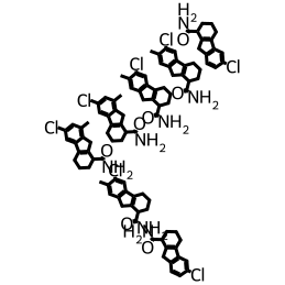 Cc1cc(Cl)cc2c1CC1=C2CCCC1C(N)=O.Cc1cc(Cl)cc2c1CC1=C2CCCC1C(N)=O.Cc1cc2c(cc1Cl)C1=C(C2)C(C(N)=O)CCC1.Cc1cc2c(cc1Cl)C1=C(C2)C(C(N)=O)CCC1.Cc1cc2c(cc1Cl)C1=C(C2)C(C(N)=O)CCC1.NC(=O)C1CCCC2=C1Cc1ccc(Cl)cc12.NC(=O)C1CCCC2=C1Cc1ccc(Cl)cc12